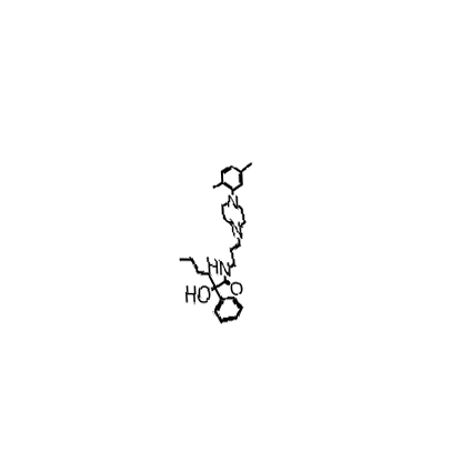 CCCCC(O)(C(=O)NCCCN1CCN(c2cc(C)ccc2C)CC1)c1ccccc1